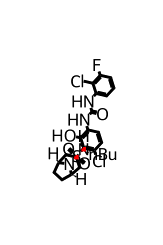 CCCCNC1C[C@H]2CC[C@@H](C1)N2S(=O)(=O)c1c(Cl)ccc(NC(=O)Nc2cccc(F)c2Cl)c1O